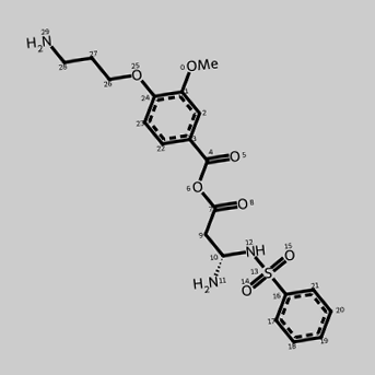 COc1cc(C(=O)OC(=O)C[C@@H](N)NS(=O)(=O)c2ccccc2)ccc1OCCCN